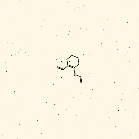 C=CSC1=C(C=C)CCCC1